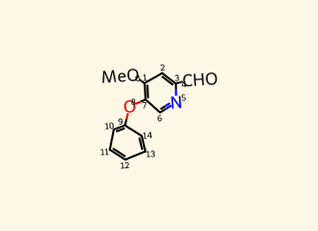 COc1cc(C=O)ncc1Oc1ccccc1